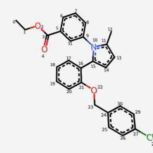 CCOC(=O)c1cccc(-n2c(C)ccc2-c2ccccc2OCc2ccc(Cl)cc2)c1